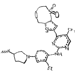 CCc1cc(N2CCC(NC)C2)ccc1Nc1ncc(C(F)(F)F)c(-c2cc3c(s2)COCCS3(=O)=O)n1